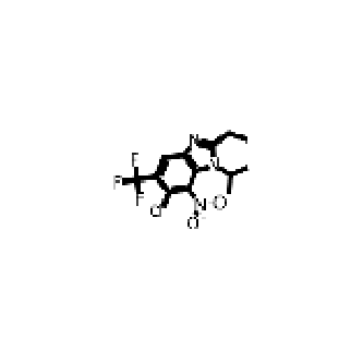 CCc1nc2cc(C(F)(F)F)c(Cl)c([N+](=O)[O-])c2n1C(C)C